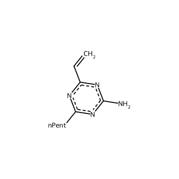 C=Cc1nc(N)nc(CCCCC)n1